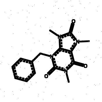 Cn1c(=O)c2c(n(C)c(=O)n2C)n(Cc2ccccc2)c1=O